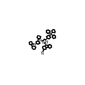 N#Cc1ccc2c(c1)c1ccccc1n2-c1nc(-c2ccc([Si](c3ccccc3)(c3ccccc3)c3ccccc3)cc2)cc(-n2c3ccccc3c3cc(-n4c5ccccc5c5ccccc54)ccc32)n1